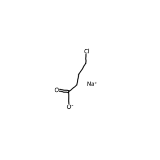 O=C([O-])CCCCl.[Na+]